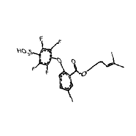 C/C(I)=C/COC(=O)c1cc(I)ccc1Oc1c(F)c(F)c(S(=O)(=O)O)c(F)c1F